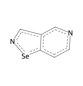 c1cc2[se]ncc2cn1